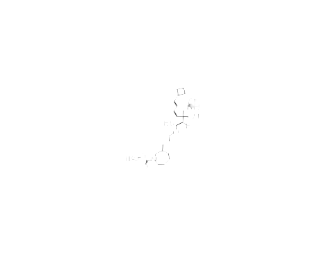 CCNCC(C)(/C=C\C=C\C1CCC1)/C(F)=C(\CC)OCCCC1CCCCN(C(=O)OC(C)(C)C)C1